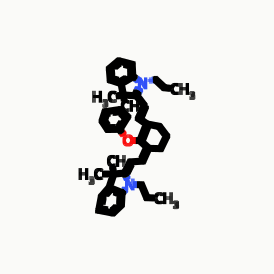 CCCN1C(=CC=C2CCCC(C=CC3=[N+](CCC)c4ccccc4C3(C)C)=C2Oc2ccccc2)C(C)(C)c2ccccc21